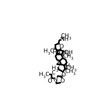 CNCC1C[C@@H](C)[C@H]2C(O1)[C@H](O)[C@@]1(C)C3CC[C@H]4C(C)(C)C(O[C@H]5CN(C(=O)C(C)C)CCO5)CC[C@@]45C[C@@]35CC[C@]21C